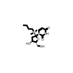 CCCC[Si](C)(C)[C@]1(n2ccc(=O)[nH]c2=O)C[C@H](O)[C@@H](CO)O1